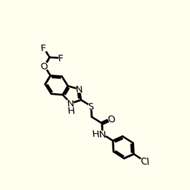 O=C(CSc1nc2cc(OC(F)F)ccc2[nH]1)Nc1ccc(Cl)cc1